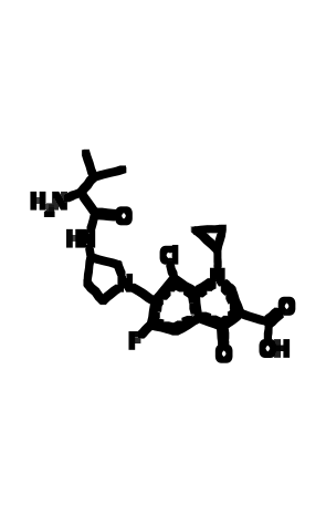 CC(C)C(N)C(=O)NC1CCN(c2c(F)cc3c(=O)c(C(=O)O)cn(C4CC4)c3c2Cl)C1